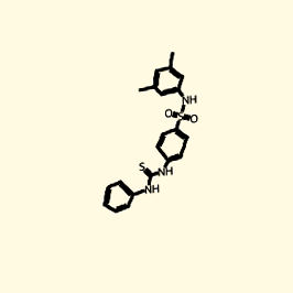 Cc1cc(C)cc(NS(=O)(=O)c2ccc(NC(=S)Nc3ccccc3)cc2)c1